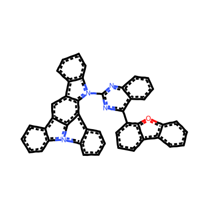 c1ccc2c(-c3cccc4c3oc3ccccc34)nc(-n3c4ccccc4c4cc5c6ccccc6n6c7ccccc7c(c43)c56)nc2c1